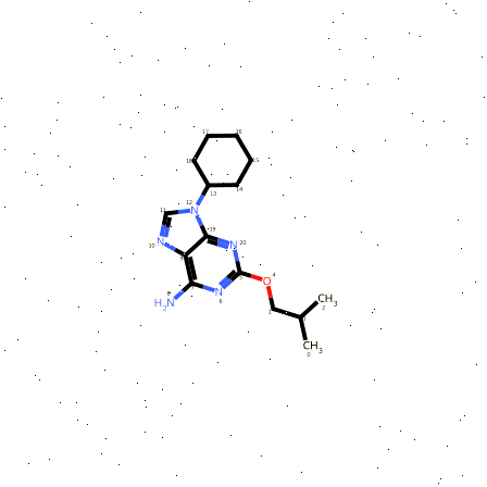 CC(C)COc1nc(N)c2ncn(C3CCCCC3)c2n1